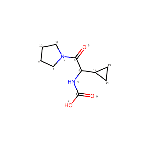 O=C(O)NC(C(=O)N1CCCC1)C1CC1